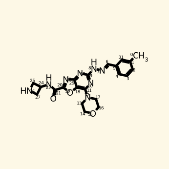 Cc1cccc(/C=N/Nc2nc(N3CCOCC3)c3oc(C(=O)NC4CNC4)nc3n2)c1